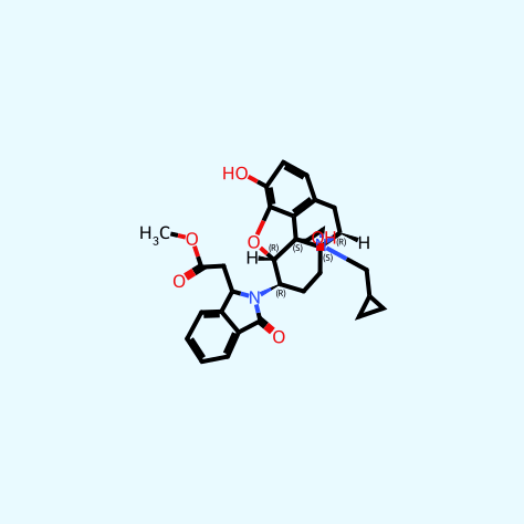 COC(=O)CC1c2ccccc2C(=O)N1[C@@H]1CC[C@@]2(O)[C@H]3Cc4ccc(O)c5c4[C@@]2(CCN3CC2CC2)[C@H]1O5